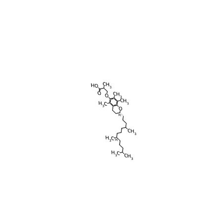 Cc1c(C)c2c(c(C)c1OCC(C)C(=O)O)CC[C@@H](CCCC(C)CCC[C@H](C)CCCC(C)C)O2